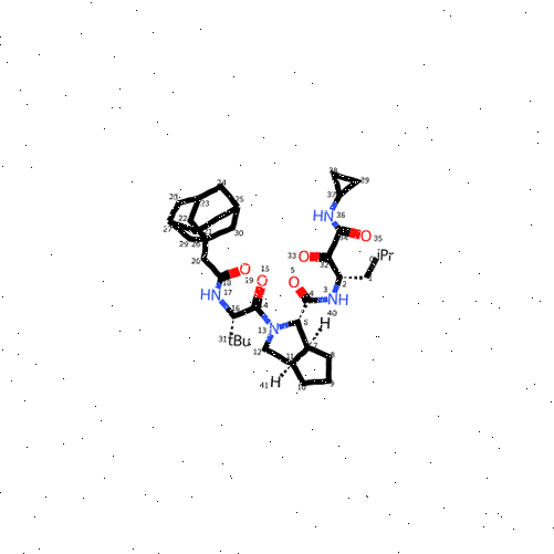 CC(C)C[C@H](NC(=O)[C@@H]1[C@H]2CCC[C@H]2CN1C(=O)[C@@H](NC(=O)CC12CC3CC(CC(C3)C1)C2)C(C)(C)C)C(=O)C(=O)NC1CC1